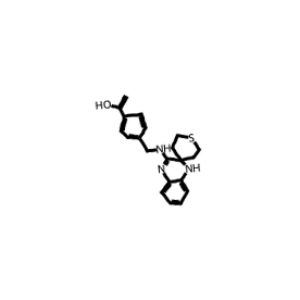 C=C(O)c1ccc(CNC2=Nc3ccccc3NC23CCSCC3)cc1